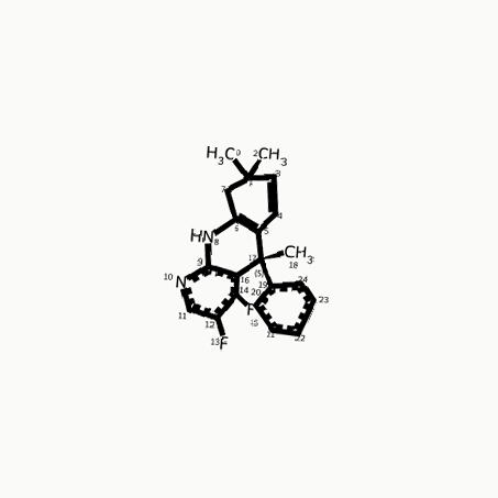 CC1(C)C=CC2=C(C1)Nc1ncc(F)c(F)c1[C@@]2(C)c1ccccc1